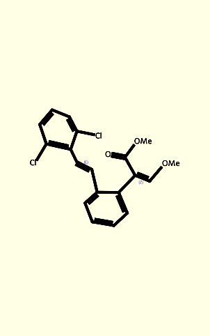 CO/C=C(\C(=O)OC)c1ccccc1/C=C/c1c(Cl)cccc1Cl